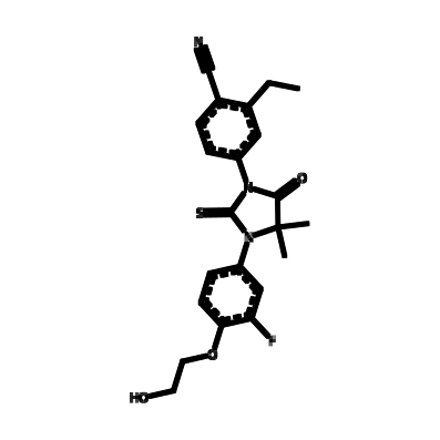 CCc1cc(N2C(=O)C(C)(C)N(c3ccc(OCCO)c(F)c3)C2=S)ccc1C#N